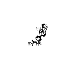 CC(C)C(C)c1nnc2cc(-c3ccnc(Nc4ccnn4C)n3)ccn12